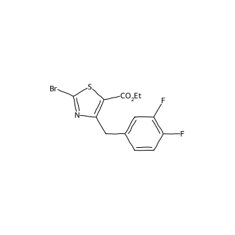 CCOC(=O)c1sc(Br)nc1Cc1ccc(F)c(F)c1